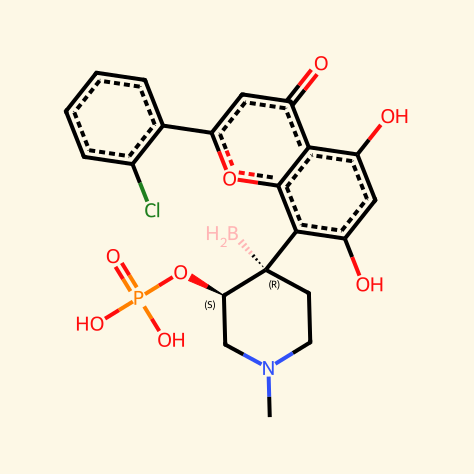 B[C@]1(c2c(O)cc(O)c3c(=O)cc(-c4ccccc4Cl)oc23)CCN(C)C[C@H]1OP(=O)(O)O